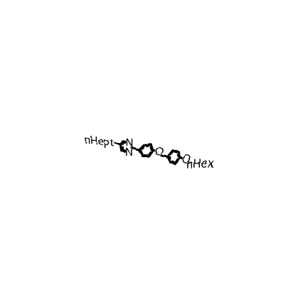 CCCCCCCc1cnc(-c2ccc(OCc3ccc(OCCCCCC)cc3)cc2)nc1